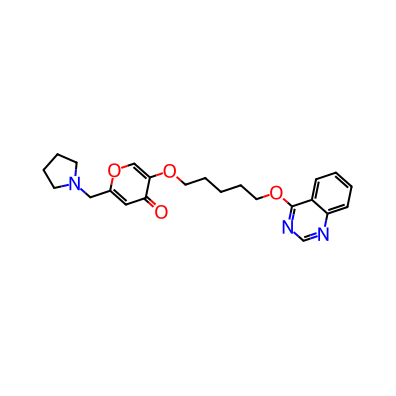 O=c1cc(CN2CCCC2)occ1OCCCCCOc1ncnc2ccccc12